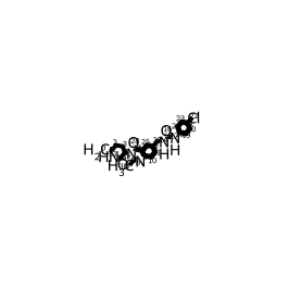 C=C1CCC(n2c(C)nc3ccc(CNC(=O)Nc4ccc(Cl)cc4)cc3c2=O)C(=O)N1